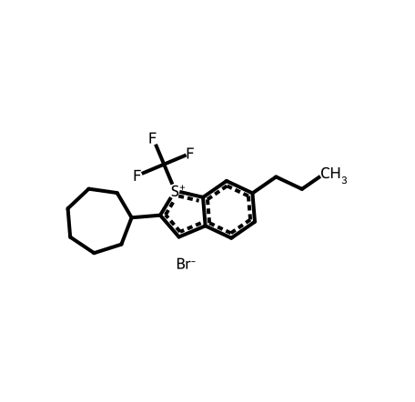 CCCc1ccc2cc(C3CCCCCC3)[s+](C(F)(F)F)c2c1.[Br-]